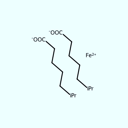 CC(C)CCCCC(=O)[O-].CC(C)CCCCC(=O)[O-].[Fe+2]